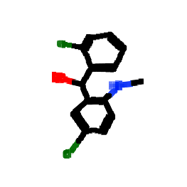 CNc1ccc(Cl)cc1C(O)c1ccccc1Cl